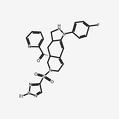 CCn1ncc(S(=O)(=O)N2CC=C3C=C4C(CNN4c4ccc(F)cc4)C[C@]3(C(=O)c3ccccn3)C2)n1